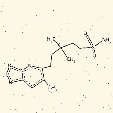 Cc1cc2ncnn2nc1CCC(C)(C)CCS(N)(=O)=O